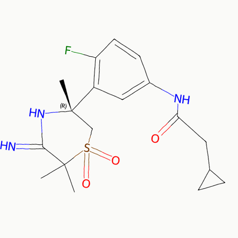 CC1(C)C(=N)N[C@](C)(c2cc(NC(=O)CC3CC3)ccc2F)CS1(=O)=O